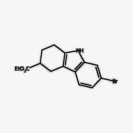 CCOC(=O)C1CCc2[nH]c3cc(Br)ccc3c2C1